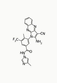 Cc1cn(NC(=O)c2cc(-n3c(N)c(C#N)c4nc5ccccc5nc43)c(C)c(C(F)(F)F)c2)cn1